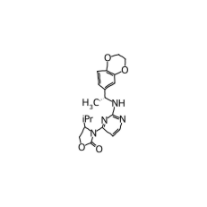 CC(C)C1COC(=O)N1c1ccnc(N[C@H](C)c2ccc3c(c2)OCCO3)n1